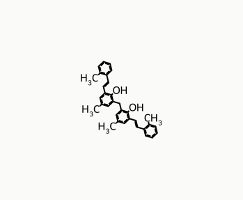 Cc1cc(/C=C/c2ccccc2C)c(O)c(Cc2cc(C)cc(/C=C/c3ccccc3C)c2O)c1